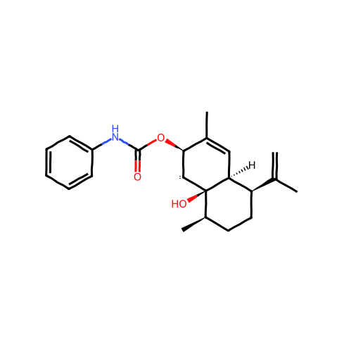 C=C(C)[C@H]1CC[C@@H](C)[C@]2(O)[C][C@@H](OC(=O)Nc3ccccc3)C(C)=C[C@@H]12